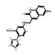 COc1cc(NCc2cc3cc(C)ccc3[nH]c2=O)ccc1-n1cnnn1